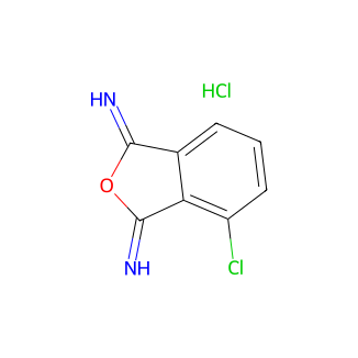 Cl.N=C1OC(=N)c2c(Cl)cccc21